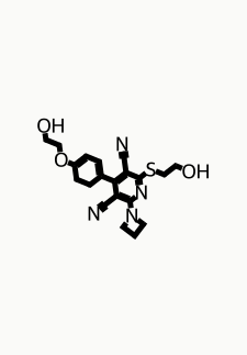 N#Cc1c(SCCO)nc(N2CCC2)c(C#N)c1C1=CC=C(OCCO)CC1